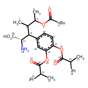 CCCCC(=O)OC(C)C(C)C(c1ccc(OC(=O)C(C)C(C)C)c(OC(=O)C(C)C(C)C)c1)[C@H](N)C(=O)O